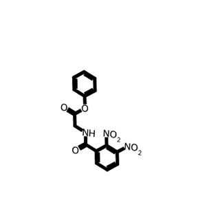 O=C(CNC(=O)c1cccc([N+](=O)[O-])c1[N+](=O)[O-])Oc1ccccc1